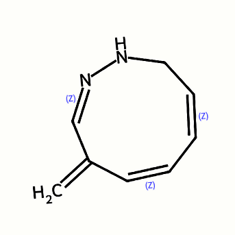 C=C1/C=C\C=C/CN/N=C\1